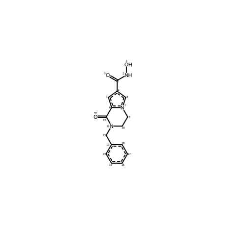 O=C(NO)c1cc2n(c1)CCN(Cc1ccccc1)C2=O